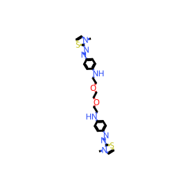 CN1C=CSC1N=Nc1ccc(NCCOCCOCCNc2ccc(N=NC3SC=CN3C)cc2)cc1